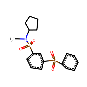 CN(C1CCCC1)S(=O)(=O)c1cccc(S(=O)(=O)c2ccccc2)c1